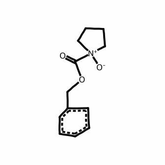 O=C(OCc1ccccc1)[N+]1([O-])CCCC1